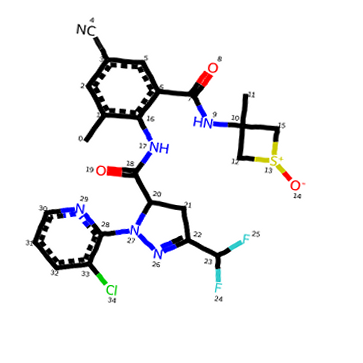 Cc1cc(C#N)cc(C(=O)NC2(C)C[S+]([O-])C2)c1NC(=O)C1CC(C(F)F)=NN1c1ncccc1Cl